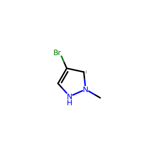 CN1[C]C(Br)=CN1